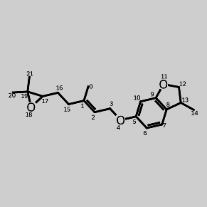 C/C(=C\COc1ccc2c(c1)OCC2C)CCC1OC1(C)C